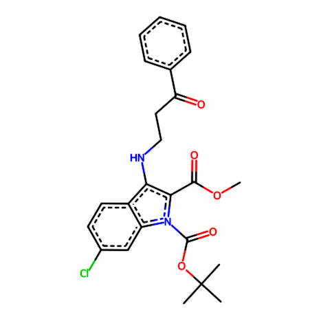 COC(=O)c1c(NCCC(=O)c2ccccc2)c2ccc(Cl)cc2n1C(=O)OC(C)(C)C